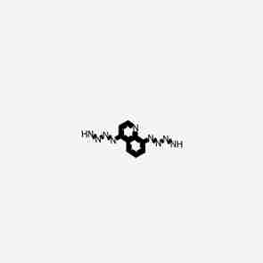 N=NN=Nc1ccnc2c(N=NN=N)cccc12